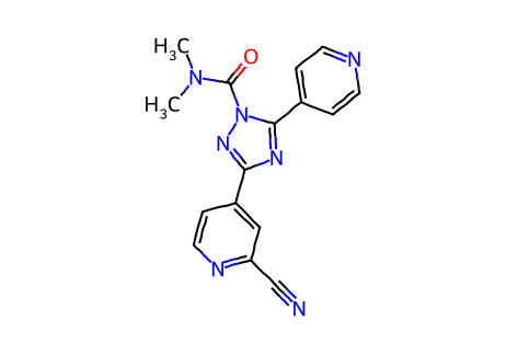 CN(C)C(=O)n1nc(-c2ccnc(C#N)c2)nc1-c1ccncc1